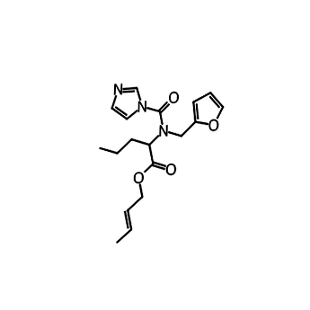 C/C=C/COC(=O)C(CCC)N(Cc1ccco1)C(=O)n1ccnc1